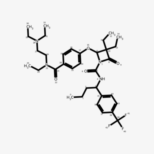 CCCC(NC(=O)N1C(=O)C(CC)(CC)C1Oc1ccc(C(=O)N(CC)CCN(CC)CC)cc1)c1ccc(C(F)(F)F)cc1